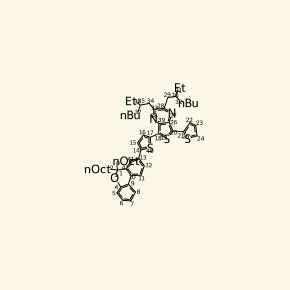 CCCCCCCCC1(CCCCCCCC)Oc2ccccc2-c2ccc(-c3ccc(-c4sc(-c5cccs5)c5nc(CC(CC)CCCC)c(CC(CC)CCCC)nc45)s3)cc21